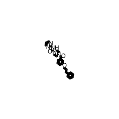 O=C(Nc1ncccn1)N1CCN(C(=O)c2cccc(OCCCc3ccccc3)c2)CC1